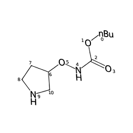 CCCCOC(=O)NOC1CCNC1